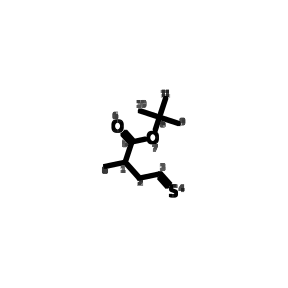 CC(CC=S)C(=O)OC(C)(C)C